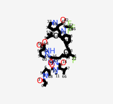 C=CC(=O)N1CC[C@H](C(=O)N(C)C(C(=O)N[C@H]2Cc3cc(CF)cc(c3)-c3ccc4c(c3)c(c(-c3cccnc3COC)n4CC(F)(F)F)CC(C)(C)COC(=O)[C@@H]3CCCN(N3)C2=O)C(C)C)C1